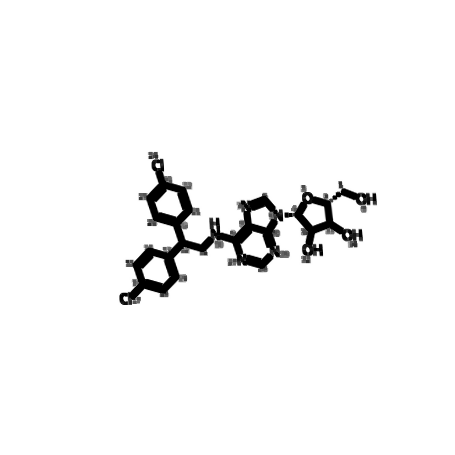 OC[C@H]1O[C@@H](n2cnc3c(NCC(c4ccc(Cl)cc4)c4ccc(Cl)cc4)ncnc32)C(O)C1O